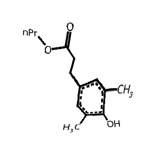 CCCOC(=O)CCc1cc(C)c(O)c(C)c1